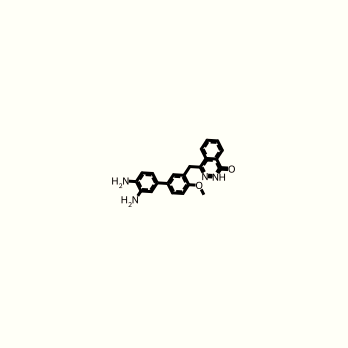 COc1ccc(-c2ccc(N)c(N)c2)cc1Cc1n[nH]c(=O)c2ccccc12